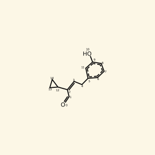 O=CC(=CCc1cccc(O)c1)C1CC1